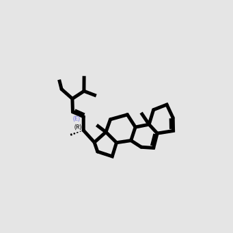 CCC(/C=C/[C@@H](C)C1CCC2C3CC=C4C=CCCC4(C)C3CCC21C)C(C)C